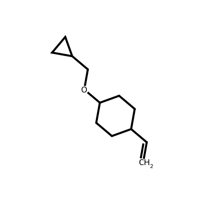 C=CC1CCC(OCC2CC2)CC1